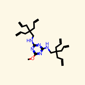 C=CCC(CC=C)(CC=C)CNc1nc(NCC(CC=C)(CC=C)CC=C)nc(OC)n1